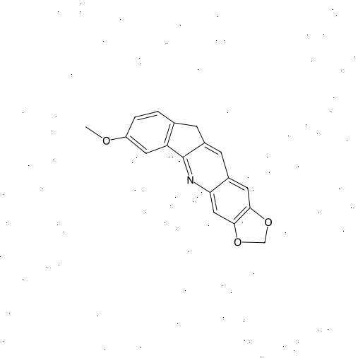 COc1ccc2c(c1)-c1nc3cc4c(cc3cc1C2)OCO4